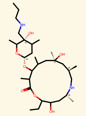 CCCNC[C@@]1(O)C(C)C[C@H](OC2C(C)C[C@@](C)(O)C[C@@H](C)CN[C@H](C)CC(O)C(CC)OC(=O)C2C)OC1C